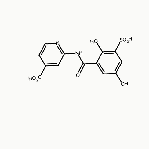 O=C(O)c1ccnc(NC(=O)c2cc(O)cc(S(=O)(=O)O)c2O)c1